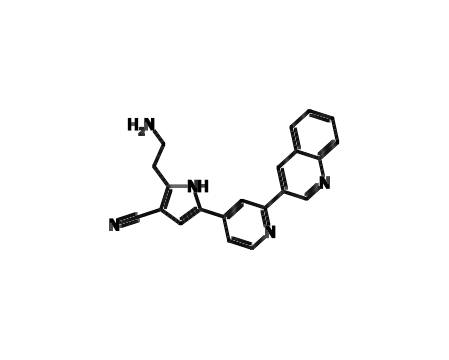 N#Cc1cc(-c2ccnc(-c3cnc4ccccc4c3)c2)[nH]c1CCN